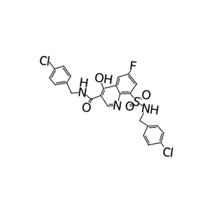 O=C(NCc1ccc(Cl)cc1)c1cnc2c(S(=O)(=O)NCc3ccc(Cl)cc3)cc(F)cc2c1O